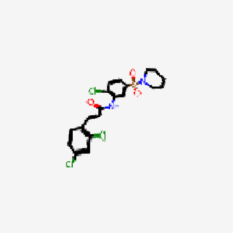 O=C(/C=C/c1ccc(Cl)cc1Cl)Nc1cc(S(=O)(=O)N2CCCCC2)ccc1Cl